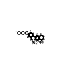 O=C([O-])c1ccc2c(c1)COc1cc3c(cc1-2)CCCC3=O.[Na+]